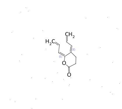 C=C/C=C1/CCC(=O)O/C1=C/C=C